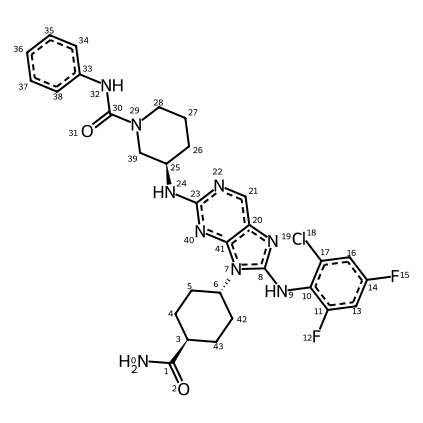 NC(=O)[C@H]1CC[C@H](n2c(Nc3c(F)cc(F)cc3Cl)nc3cnc(N[C@@H]4CCCN(C(=O)Nc5ccccc5)C4)nc32)CC1